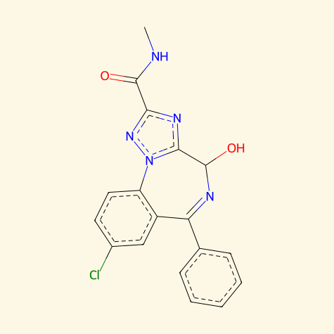 CNC(=O)c1nc2n(n1)-c1ccc(Cl)cc1C(c1ccccc1)=NC2O